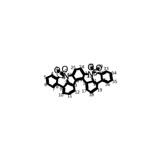 O=S1(=O)c2ccccc2-c2cccc3c4c5c6cccc7c6n(c5ccc4n1c23)S(=O)(=O)c1ccccc1-7